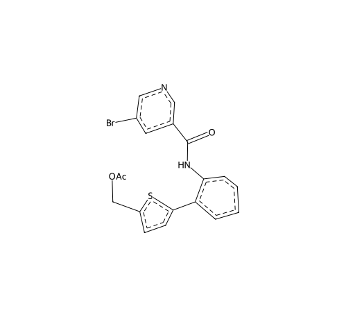 CC(=O)OCc1ccc(-c2ccccc2NC(=O)c2cncc(Br)c2)s1